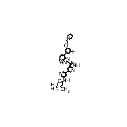 CC(C)(C)CC(=O)Nc1cncc(-c2cnc3[nH]nc(-c4nc5c(-c6cc(F)cc(OCCN7CCCC7)c6)ccnc5[nH]4)c3c2)c1